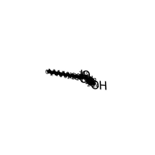 CCCCCCCCCCCCCCCC(I)OC(=O)c1ccc(O)cc1